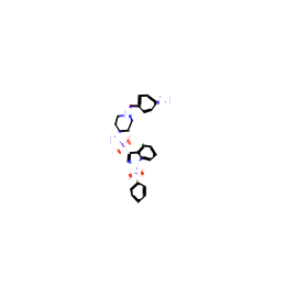 Nc1ccc(C(=O)N2CCC(NS(=O)(=O)c3cn(S(=O)(=O)c4ccccc4)c4cccc(Br)c34)CC2)cc1